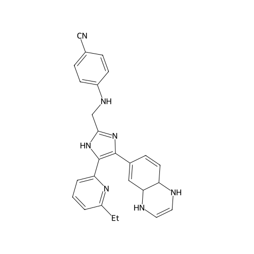 CCc1cccc(-c2[nH]c(CNc3ccc(C#N)cc3)nc2C2=CC3NC=CNC3C=C2)n1